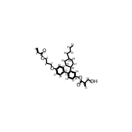 C=CC(=O)OCCCOc1ccc(-c2ccc(OC(=O)C(=C)CO)cc2C2CCC(CCCC)CC2)cc1